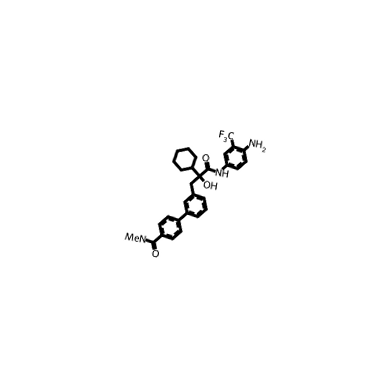 CNC(=O)c1ccc(-c2cccc(CC(O)(C(=O)Nc3ccc(N)c(C(F)(F)F)c3)C3CCCCC3)c2)cc1